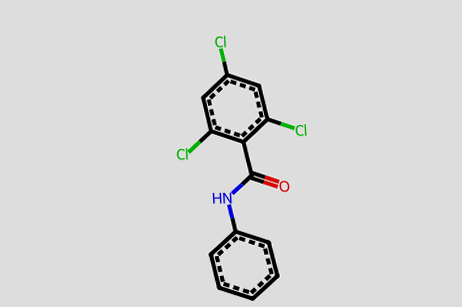 O=C(Nc1ccccc1)c1c(Cl)cc(Cl)cc1Cl